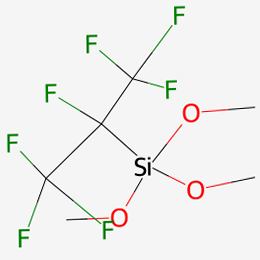 CO[Si](OC)(OC)C(F)(C(F)(F)F)C(F)(F)F